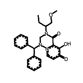 CCC(COC)N1CN(C(c2ccccc2)c2ccccc2)n2ccc(=O)c(O)c2C1=O